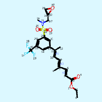 CCOC(=O)/C=C/C(C)=C/C=C(\C)c1cc(C(F)(F)F)cc(S(=O)(=O)N(C)C[C@H]2CO2)c1